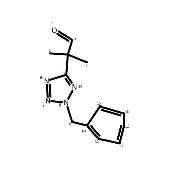 CC(C)(C=O)c1nnn(Cc2ccccc2)n1